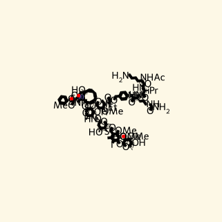 CCN(C(=O)OCc1ccc(NC(=O)[C@H](CCCNC(N)=O)NC(=O)[C@@H](NC(=O)[C@H](CCCCN)NC(C)=O)C(C)C)cc1)[C@H]1CO[C@@H](O[C@H]2[C@H](O[C@H]3C#CC=CC#C[C@]4(O)CC(=O)C(NC(=O)OC)=C3/C4=C\CSSc3ccccc3)O[C@H](C)[C@@H](NO[C@H]3C[C@H](O)[C@H](SC(=O)c4c(C)c(I)c(O[C@@H]5O[C@@H](C)[C@H](O)[C@@H](OC)[C@H]5O)c(OC)c4OC)[C@@H](C)O3)[C@@H]2O)C[C@@H]1OC